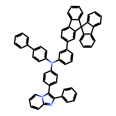 c1ccc(-c2ccc(N(c3ccc(-c4c(-c5ccccc5)nc5ccccn45)cc3)c3cccc(-c4ccc5c(c4)C4(c6ccccc6-c6ccccc64)c4ccccc4-5)c3)cc2)cc1